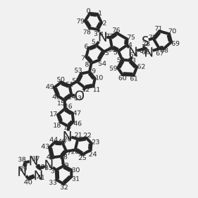 c1ccc(-n2c3ccc(-c4ccc5oc6c(-c7ccc(-n8c9ccccc9c9c%10c%11ccccc%11n(-c%11ncncn%11)c%10ccc98)cc7)cccc6c5c4)cc3c3c4c5ccccc5n(-c5nc6ccccc6s5)c4ccc32)cc1